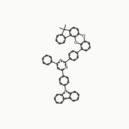 CC1(C)c2ccccc2-c2c1ccc1c2Oc2c(cccc2-c2ccc(-c3nc(-c4ccccc4)cc(-c4ccc(-n5c6ccccc6c6ccccc65)cc4)n3)cc2)O1